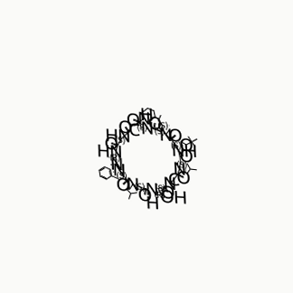 CC[C@H](C)[C@H]1C(=O)N[C@H](C(=O)N2CCCCC2)CC(=O)N[C@@H](C)C(=O)N[C@@H](C)N(C)N(C)[C@@H](Cc2ccccc2)C(=O)N(C)[C@@H](CC(C)C)C(=O)N[C@@H]([C@@H](C)O)C(=O)N(C)CC(=O)N(C)[C@@H](CC(C)C)C(=O)N[C@@H](COC(C)(C)C)C(=O)N1C